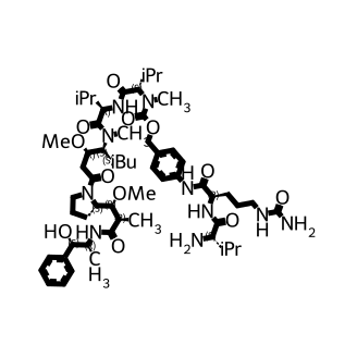 CC[C@H](C)[C@@H]([C@@H](CC(=O)N1CCC[C@H]1[C@H](OC)[C@@H](C)C(=O)N[C@H](C)[C@@H](O)c1ccccc1)OC)N(C)C(=O)[C@H](NC(=O)[C@H](C(C)C)N(C)C(=O)OCc1ccc(NC(=O)[C@@H](CCCNC(N)=O)NC(=O)[C@@H](N)C(C)C)cc1)C(C)C